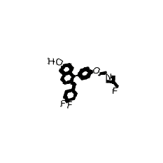 Oc1ccc2c(c1)CCC(CC1CCC(F)(F)CC1)[C@@H]2c1ccc(OCCN2CC(CF)C2)cc1